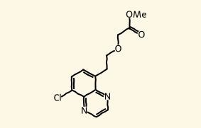 COC(=O)COCCc1ccc(Cl)c2nccnc12